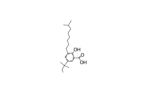 CCC(C)(C)c1cc(CCCCCCC(C)C)c(O)c(C(=O)O)c1